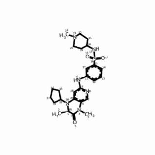 C[C@@H]1C(=O)N(C)c2cnc(Nc3cccc(S(=O)(=O)NC4CCN(C)CC4)c3)cc2N1C1CCCC1